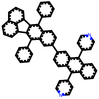 c1ccc(-c2c3c(c(-c4ccccc4)c4cc(-c5ccc6c(-c7ccncc7)c7ccccc7c(-c7ccncc7)c6c5)ccc24)-c2cccc4cccc-3c24)cc1